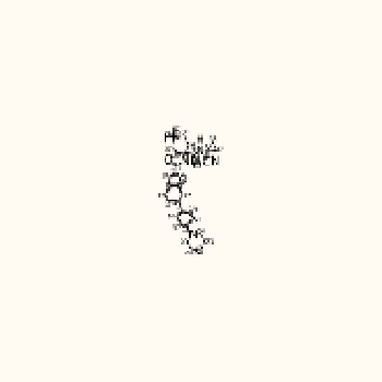 N#CC1(NC(=O)C2(NC(=O)c3cc4ccc(-c5ccc(N6CCOCC6)cc5)cc4o3)CCC(F)(F)CC2)CC1